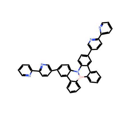 c1ccc(-c2ccc(-c3ccc4c(c3)-c3ccccc3B3c5ccccc5-c5cc(-c6ccc(-c7ccccn7)nc6)ccc5N34)cn2)nc1